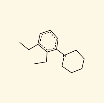 CCc1cccc(N2CCCCC2)c1CC